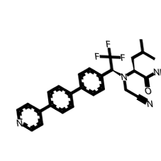 CC(C)C[C@@H](C(N)=O)N(CC#N)[C@@H](c1ccc(-c2ccc(-c3ccncc3)cc2)cc1)C(F)(F)F